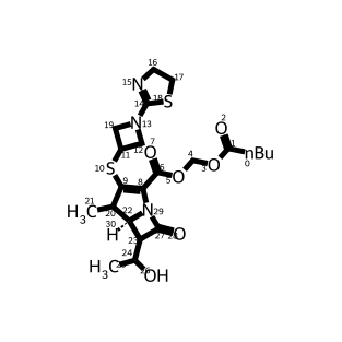 CCCCC(=O)OCOC(=O)C1=C(SC2CN(C3=NCCS3)C2)C(C)[C@@H]2C(C(C)O)C(=O)N12